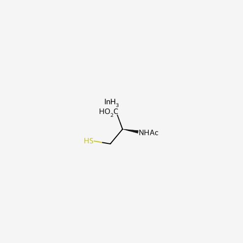 CC(=O)N[C@@H](CS)C(=O)O.[InH3]